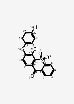 O=C1c2ccccc2S(=O)(=O)c2c1ccc(SC1=CC=C(Cl)CC1)c2Cl